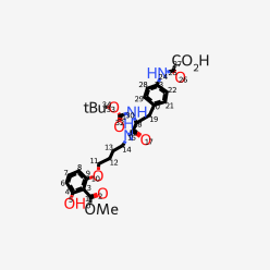 COC(=O)c1c(O)cccc1OCCCCNC(=O)C(Cc1ccc(NC(=O)C(=O)O)cc1)NC(=O)OC(C)(C)C